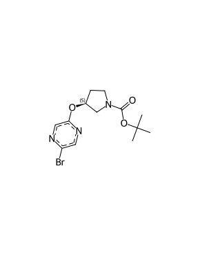 CC(C)(C)OC(=O)N1CC[C@H](Oc2cnc(Br)cn2)C1